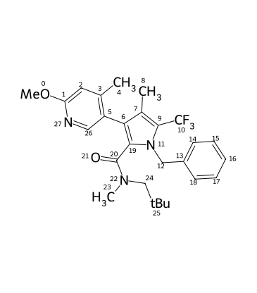 COc1cc(C)c(-c2c(C)c(C(F)(F)F)n(Cc3ccccc3)c2C(=O)N(C)CC(C)(C)C)cn1